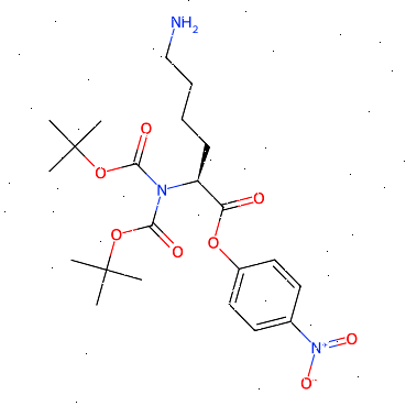 CC(C)(C)OC(=O)N(C(=O)OC(C)(C)C)[C@@H](CCCCN)C(=O)Oc1ccc([N+](=O)[O-])cc1